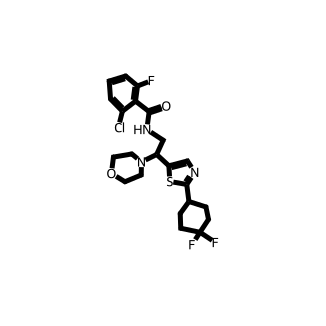 O=C(NCC(c1cnc(C2CCC(F)(F)CC2)s1)N1CCOCC1)c1c(F)cccc1Cl